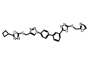 c1cc(-c2ccc(-n3cc(CSc4nnc(C5CCC5)o4)nn3)cc2)cc(-c2nnc(SCc3ncco3)o2)c1